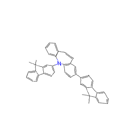 CC1(C)c2ccccc2-c2ccc(-c3ccc4c(c3)C=Cc3ccccc3N4c3ccc4c(c3)C(C)(C)c3ccccc3-4)cc21